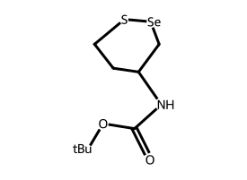 CC(C)(C)OC(=O)NC1CCS[Se]C1